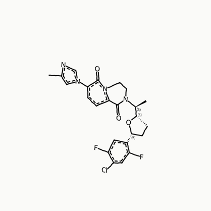 Cc1cn(-c2ccc3n(c2=O)CCN([C@@H](C)[C@@H]2CC[C@H](c4cc(F)c(Cl)cc4F)O2)C3=O)cn1